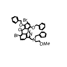 COCCN(Cc1ccccc1)Cc1nn2c3c(OCc4ccccc4)cc(Br)c(OCc4ccccc4)c3c(=O)c3c(Br)ccc1c32